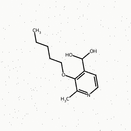 CCCCCOc1c(C(O)O)ccnc1C